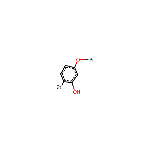 CCc1ccc(OC(C)C)cc1O